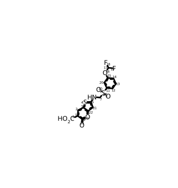 O=C(O)c1cc2sc(NCS(=O)(=O)c3cccc(OC(F)F)c3)cc2oc1=O